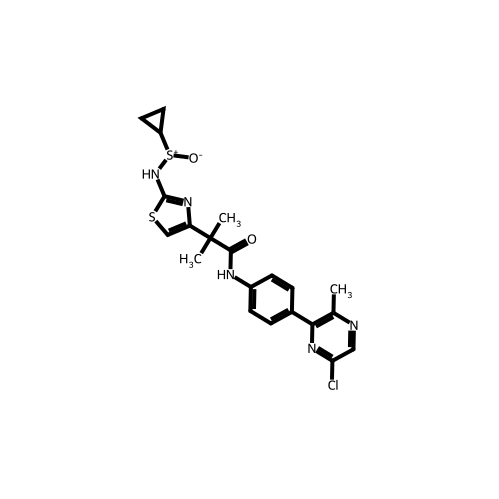 Cc1ncc(Cl)nc1-c1ccc(NC(=O)C(C)(C)c2csc(N[S+]([O-])C3CC3)n2)cc1